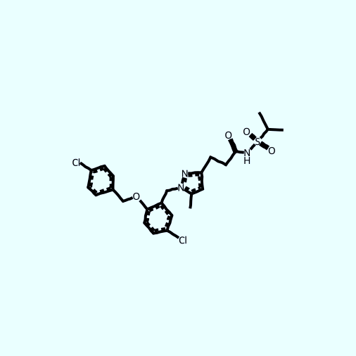 Cc1cc(CCC(=O)NS(=O)(=O)C(C)C)nn1Cc1cc(Cl)ccc1OCc1ccc(Cl)cc1